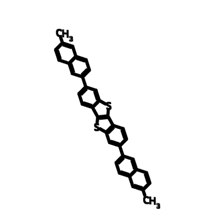 Cc1ccc2cc(-c3ccc4c(c3)sc3c5ccc(-c6ccc7cc(C)ccc7c6)cc5sc43)ccc2c1